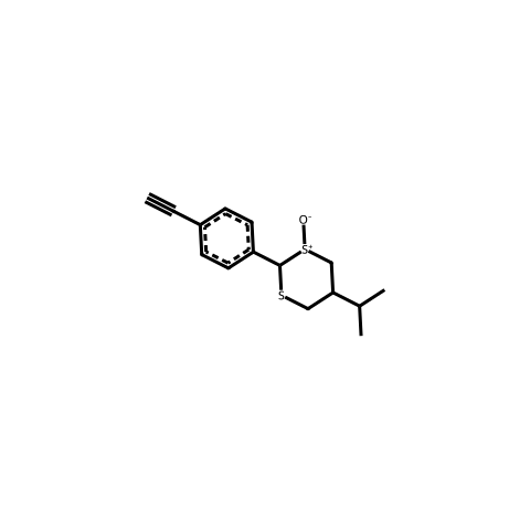 C#Cc1ccc(C2SCC(C(C)C)C[S+]2[O-])cc1